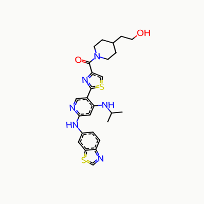 CC(C)Nc1cc(Nc2ccc3ncsc3c2)ncc1-c1nc(C(=O)N2CCC(CCO)CC2)cs1